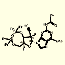 C#C[C@@]1(F)C2O[Si](C(C)C)(C(C)C)O[Si](C(C)C)(C(C)C)OC[C@H]2O[C@H]1n1cnc2c(NC)nc(NC(=O)C(C)C)nc21